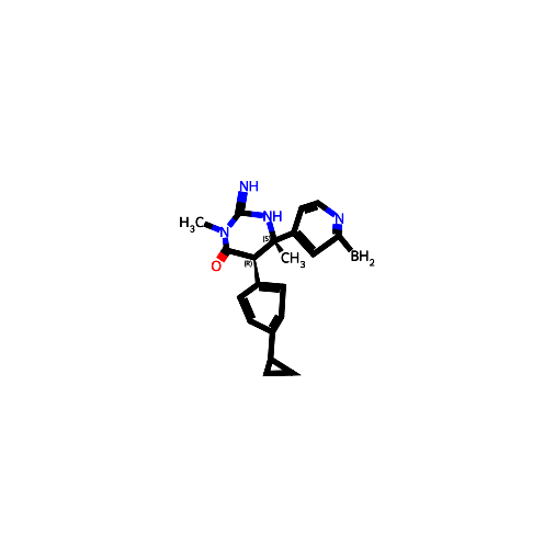 Bc1cc([C@@]2(C)NC(=N)N(C)C(=O)[C@@H]2c2ccc(C3CC3)cc2)ccn1